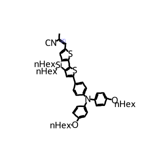 [C-]#[N+]/C(C)=C\c1cc2c(s1)-c1sc(-c3ccc(N(c4ccc(OCCCCCC)cc4)c4ccc(OCCCCCC)cc4)cc3)cc1[Si]2(CCCCCC)CCCCCC